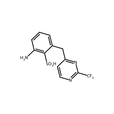 Nc1cccc(Cc2ccnc(C(F)(F)F)n2)c1S(=O)(=O)O